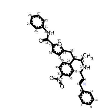 CC(NC/C=C/c1ccccc1)C(Cc1ccc(C(=O)Nc2ccccc2)o1)c1ccc([N+](=O)[O-])cc1